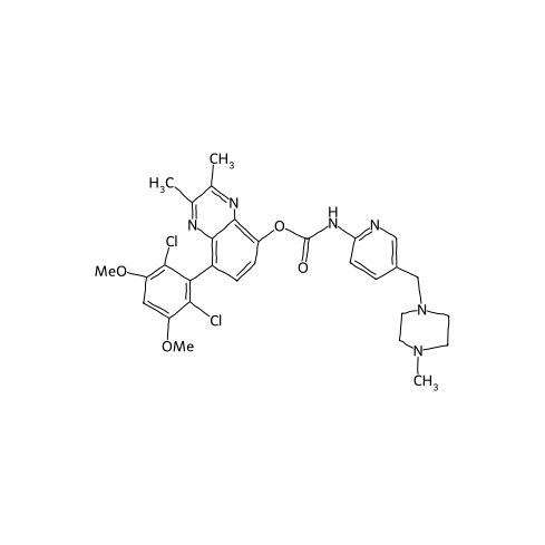 COc1cc(OC)c(Cl)c(-c2ccc(OC(=O)Nc3ccc(CN4CCN(C)CC4)cn3)c3nc(C)c(C)nc23)c1Cl